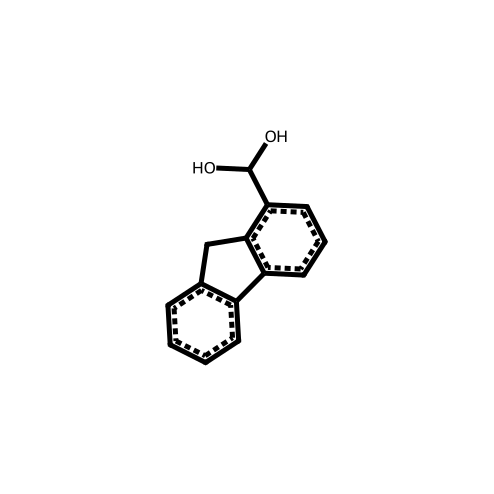 OC(O)c1cccc2c1Cc1ccccc1-2